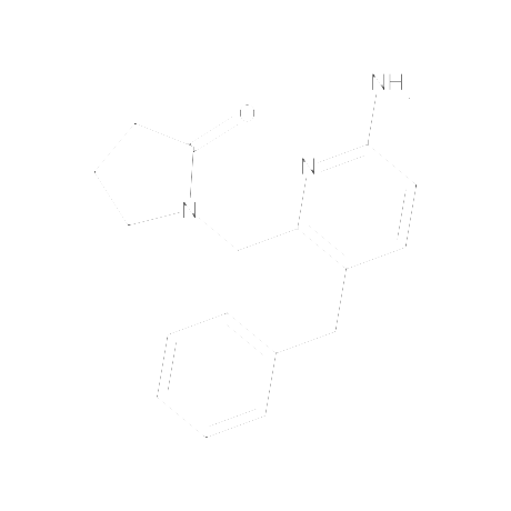 Nc1ccc(Cc2ccccc2)c(CN2CCCC2=O)n1